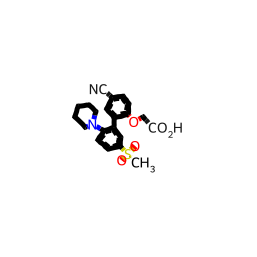 CS(=O)(=O)c1ccc(N2CCCCC2)c(-c2cc(C#N)ccc2OCC(=O)O)c1